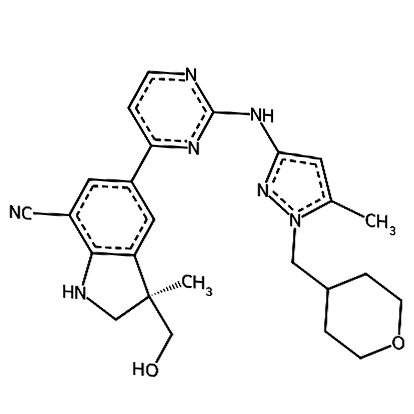 Cc1cc(Nc2nccc(-c3cc(C#N)c4c(c3)[C@@](C)(CO)CN4)n2)nn1CC1CCOCC1